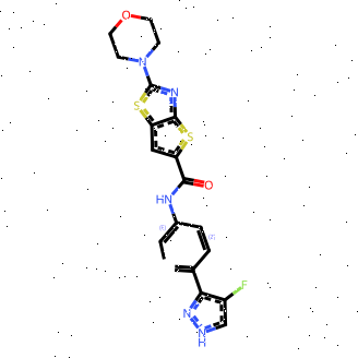 C=C(/C=C\C(=C/C)NC(=O)c1cc2sc(N3CCOCC3)nc2s1)c1n[nH]cc1F